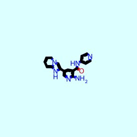 Nc1ncc(C2=CN3CC=CC=C3N2)cc1C(=O)Nc1ccncc1